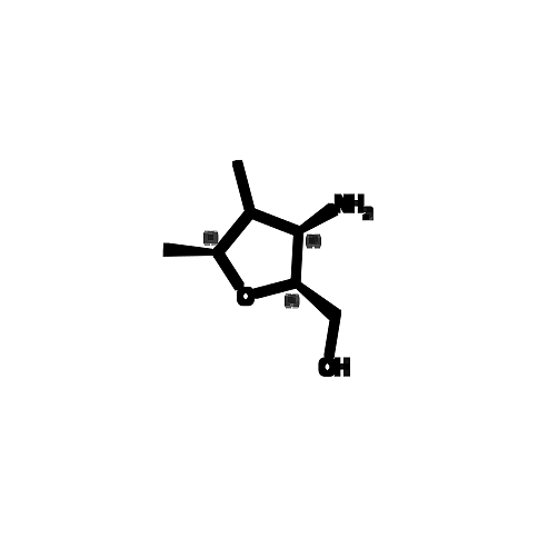 CC1[C@H](C)O[C@H](CO)[C@@H]1N